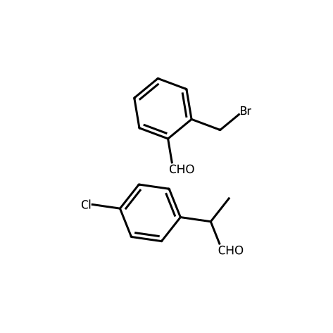 CC(C=O)c1ccc(Cl)cc1.O=Cc1ccccc1CBr